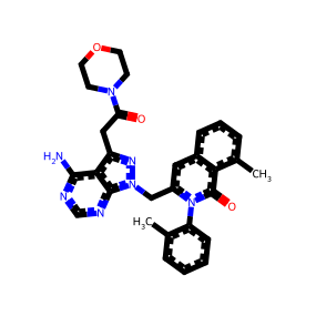 Cc1ccccc1-n1c(Cn2nc(CC(=O)N3CCOCC3)c3c(N)ncnc32)cc2cccc(C)c2c1=O